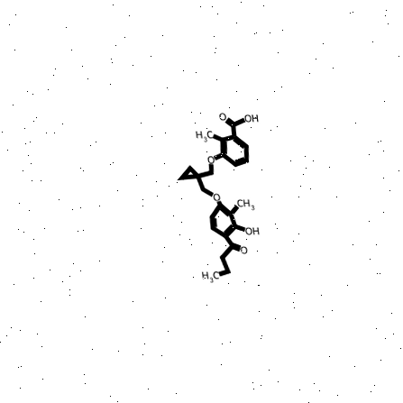 CCCC(=O)c1ccc(OCC2(COc3cccc(C(=O)O)c3C)CC2)c(C)c1O